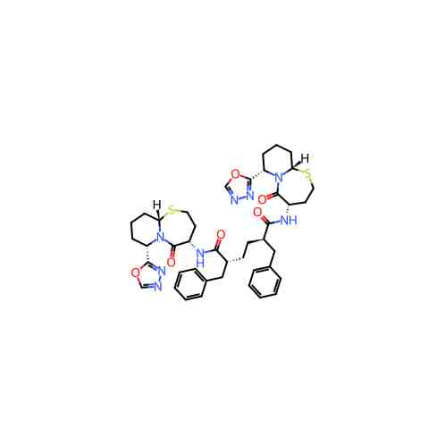 O=C(N[C@H]1CCS[C@H]2CCC[C@@H](c3nnco3)N2C1=O)[C@H](CC[C@H](Cc1ccccc1)C(=O)N[C@H]1CCS[C@H]2CCC[C@@H](c3nnco3)N2C1=O)Cc1ccccc1